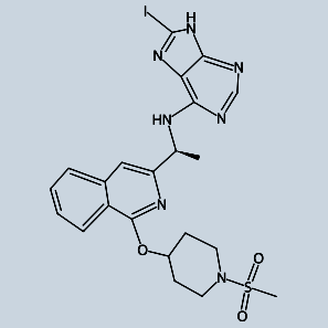 C[C@H](Nc1ncnc2[nH]c(I)nc12)c1cc2ccccc2c(OC2CCN(S(C)(=O)=O)CC2)n1